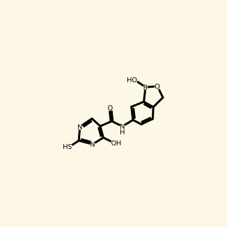 O=C(Nc1ccc2c(c1)B(O)OC2)c1cnc(S)nc1O